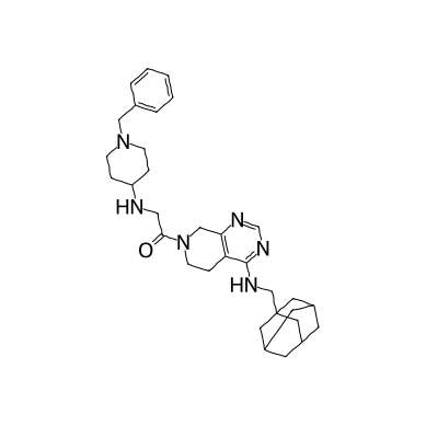 O=C(CNC1CCN(Cc2ccccc2)CC1)N1CCc2c(ncnc2NCC23CC4CC(CC(C4)C2)C3)C1